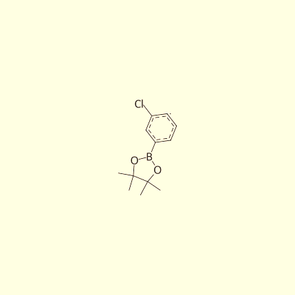 CC1(C)OB(c2cc[c]c(Cl)c2)OC1(C)C